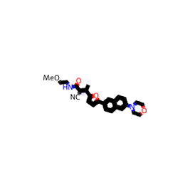 COCCNC(=O)/C(C#N)=C(\C)c1ccc(-c2ccc3cc(N4CCOCC4)ccc3c2)o1